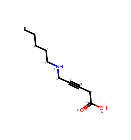 CCCCCNCC#CCC(=O)O